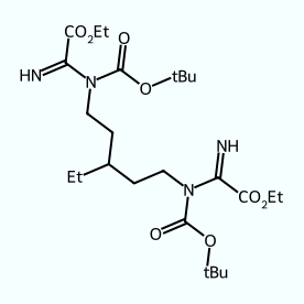 CCOC(=O)C(=N)N(CCC(CC)CCN(C(=N)C(=O)OCC)C(=O)OC(C)(C)C)C(=O)OC(C)(C)C